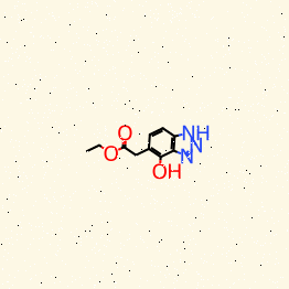 CCOC(=O)Cc1ccc2[nH]nnc2c1O